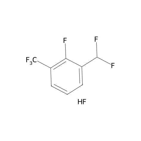 F.Fc1c(C(F)F)cccc1C(F)(F)F